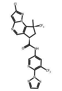 C[C@]1(C(F)(F)F)C[C@@H](C(=O)Nc2cnc(-n3nccn3)c(C(F)(F)F)c2)c2cnc3cc(Cl)nn3c21